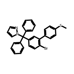 CSc1ccc(-c2cc(C(c3ccccc3)(c3ccccc3)n3cccn3)ccc2Br)cc1